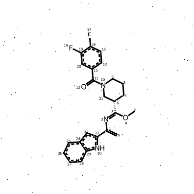 C=C(/N=C(\OC)[C@H]1CCCN(C(=O)c2ccc(F)c(F)c2)C1)c1cc2ccccc2[nH]1